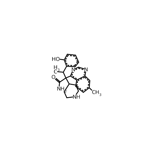 Cc1ccc2c(C(C(N)=O)(C3CCNCC3)C(C)c3ccccc3O)ncnc2c1